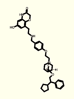 O=C1COc2c(CCNCc3ccc(OCC[N+]45CCC(CC4)[C@H](OCC(c4ccccc4)C4CCCC4)C5)cc3)cc(O)cc2N1